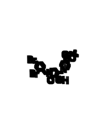 CC(C)(C)OC(=O)N1CCN(Cc2ccn(Cc3ccc(Br)cc3Br)c(=O)c2O)CC1